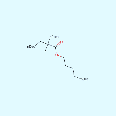 CCCCCCCCCCCCCCOC(=O)C(C)(CCCCC)CCCCCCCCCCC